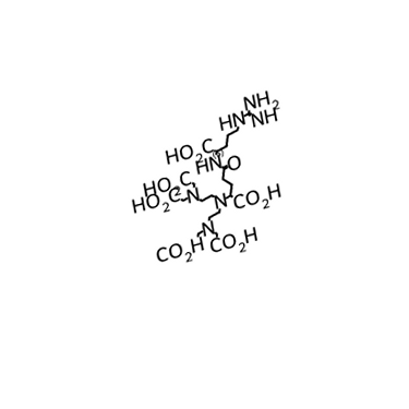 N=C(N)NCCC[C@H](NC(=O)CCC(C(=O)O)N(CCN(CC(=O)O)CC(=O)O)CCN(CC(=O)O)CC(=O)O)C(=O)O